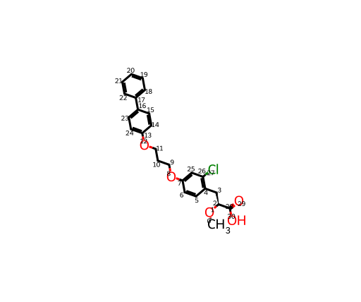 CO[C@@H](Cc1ccc(OCCCOc2ccc(-c3ccccc3)cc2)cc1Cl)C(=O)O